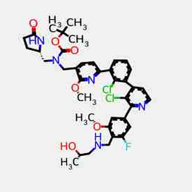 COc1cc(-c2nccc(-c3cccc(-c4ccc(CN(C[C@@H]5CCC(=O)N5)C(=O)OC(C)(C)C)c(OC)n4)c3Cl)c2Cl)cc(F)c1CNC[C@@H](C)O